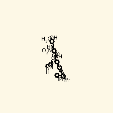 CC(C)c1ccccc1C1CN(C(C)C)CCN1C1CC2(CCN(c3ccc(C(=O)NS(=O)(=O)c4ccc(NCC5CCC(C)(O)CC5)c([N+](=O)[O-])c4)c(Oc4cnc5[nH]ccc5c4)c3)CC2)C1